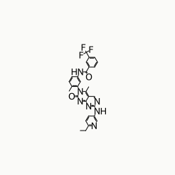 CCc1ccc(Nc2ncc3c(C)n(-c4cc(NC(=O)c5cccc(C(F)(F)F)c5)ccc4C)c(=O)nc3n2)cn1